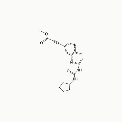 COC(=O)C#Cc1cnc2ccc(NC(=O)NC3CCCC3)nc2c1